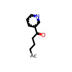 CC(=O)CCCC(=O)c1cccnc1